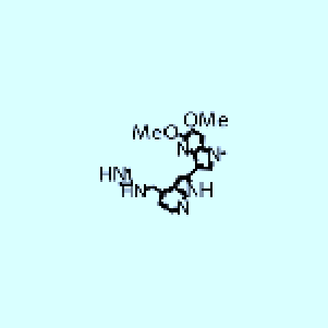 COc1cc2c(nc1OC)c(-c1cc3c(CNC4CNC4)ccnc3[nH]1)cn2C